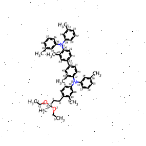 CCO[Si](C)(CCc1ccc(N(c2cccc(C)c2)c2ccc(-c3ccc(N(c4cccc(C)c4)c4cccc(C)c4)c(C)c3)cc2C)cc1C)OCC